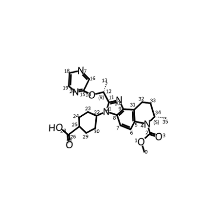 COC(=O)N1c2ccc3c(nc([C@@H](C)Oc4cnccn4)n3C3CCC(C(=O)O)CC3)c2CC[C@@H]1C